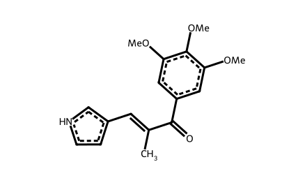 COc1cc(C(=O)C(C)=Cc2cc[nH]c2)cc(OC)c1OC